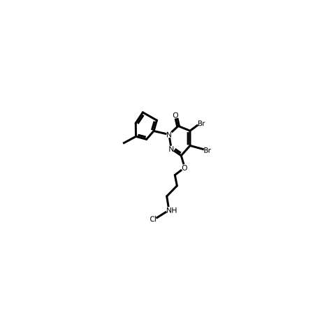 Cc1cccc(-n2nc(OCCCNCl)c(Br)c(Br)c2=O)c1